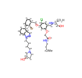 COCCNC(=O)COc1cc(OCc2cccc(-c3cccc4c3cnn4CCCCN3CC[C@@H](O)C3)c2Br)c(Cl)cc1CN[C@@H](CO)C(=O)O